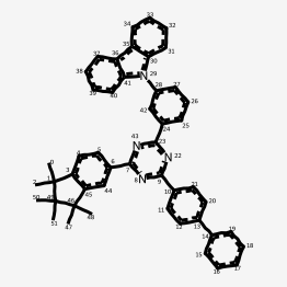 CC1(C)c2ccc(-c3nc(-c4ccc(-c5ccccc5)cc4)nc(-c4cccc(-n5c6ccccc6c6ccccc65)c4)n3)cc2C(C)(C)C1(C)C